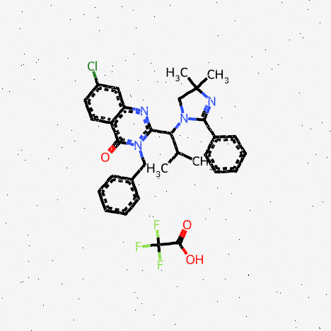 CC(C)C(c1nc2cc(Cl)ccc2c(=O)n1Cc1ccccc1)N1CC(C)(C)N=C1c1ccccc1.O=C(O)C(F)(F)F